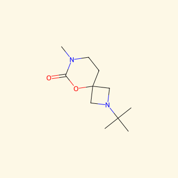 CN1CCC2(CN(C(C)(C)C)C2)OC1=O